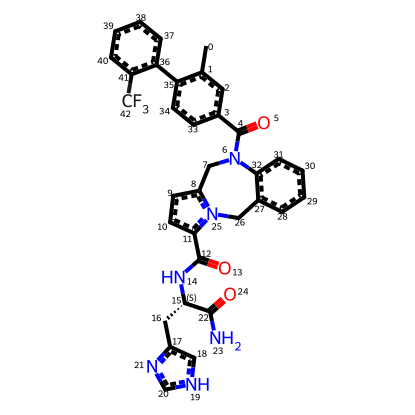 Cc1cc(C(=O)N2Cc3ccc(C(=O)N[C@@H](Cc4c[nH]cn4)C(N)=O)n3Cc3ccccc32)ccc1-c1ccccc1C(F)(F)F